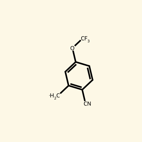 [CH2]c1cc(OC(F)(F)F)ccc1C#N